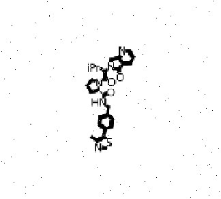 Cc1ncsc1-c1ccc(CNC(=O)[C@@H]2CCCN2C(=O)C(C(C)C)N2Cc3ncccc3C2=O)cc1